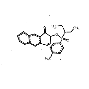 CCN(CC)P(=O)(OC1C=Cc2nc3ccccc3cc2C1=O)c1ccc(C)cc1